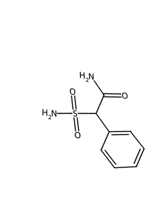 NC(=O)C(c1ccccc1)S(N)(=O)=O